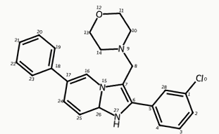 Clc1cccc(C2=C(CN3CCOCC3)N3C=C(c4ccccc4)C=CC3N2)c1